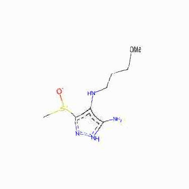 COCCCNc1c([S+](C)[O-])n[nH]c1N